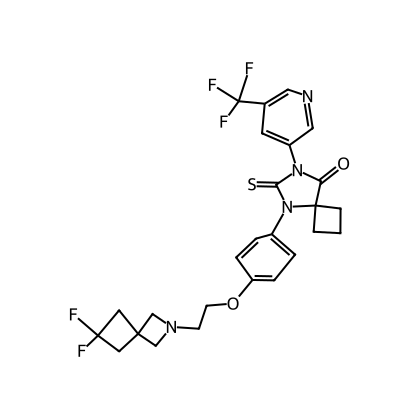 O=C1N(c2cncc(C(F)(F)F)c2)C(=S)N(c2ccc(OCCN3CC4(C3)CC(F)(F)C4)cc2)C12CCC2